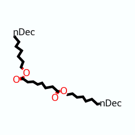 CCCCCCCCCCCCCCCCCOC(=O)CCCCCCC(=O)OCCCCCCCCCCCCCCCCC